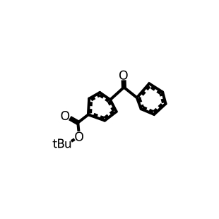 CC(C)(C)OC(=O)c1ccc(C(=O)c2ccccc2)cc1